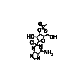 CS(=O)(=O)O[C@@H]1[C@@H](O)[C@H](C2(Cl)N=C(N)C3=NC=NC3=N2)O[C@@H]1CO